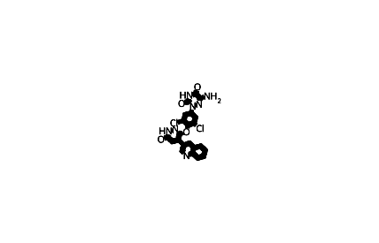 Nc1nn(-c2cc(Cl)c(Oc3n[nH]c(=O)cc3-c3cnc4ccccc4c3)c(Cl)c2)c(=O)[nH]c1=O